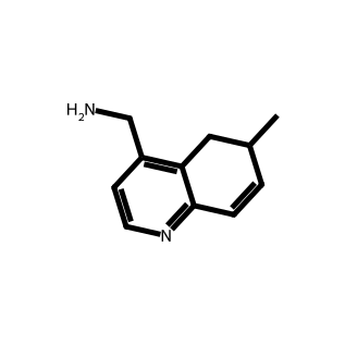 CC1C=Cc2nccc(CN)c2C1